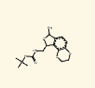 CC(C)(C)OC(=O)NCC1OB(O)c2ccc3c(c21)OCCO3